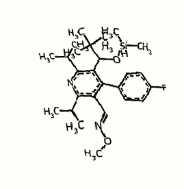 CON=Cc1c(C(C)C)nc(C(C)C)c(C(O[SiH](C)C)C(C)(C)C)c1-c1ccc(F)cc1